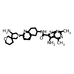 Cc1nc(C)c2c(N)c(C(=O)NC3CCc4nc(N5CC(N)C6(CCCOC6)C5)ccc4C3)sc2n1